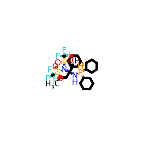 CCCC(CC)(N[PH](C1CCCCC1)(C1CCCCC1)C1CCCCC1)N(S(=O)(=O)C(F)(F)F)S(=O)(=O)C(F)(F)F